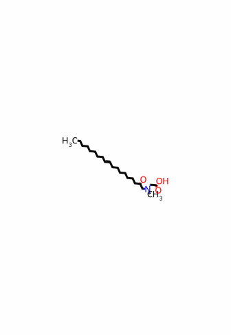 CCCCCCCCC=CCCCCCCCC(=O)CN(C)CC(=O)O